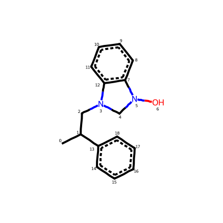 CC(CN1CN(O)c2ccccc21)c1ccccc1